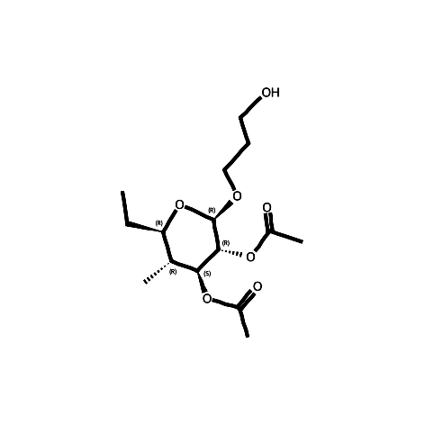 CC[C@H]1O[C@@H](OCCCO)[C@H](OC(C)=O)[C@@H](OC(C)=O)[C@@H]1C